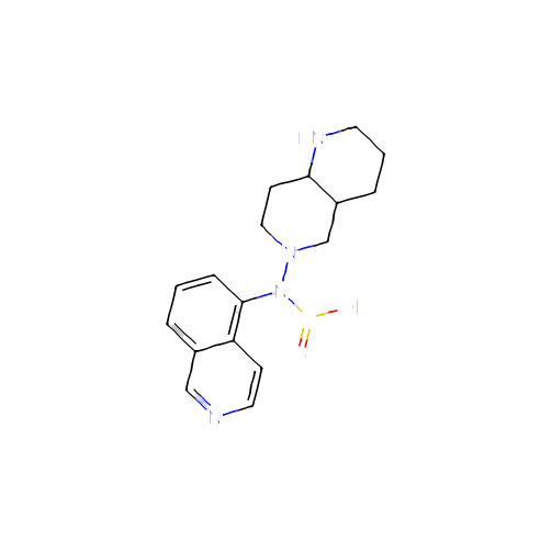 O=S(O)N(c1cccc2cnccc12)N1CCC2NCCCC2C1